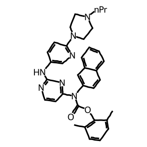 CCCN1CCN(c2ccc(Nc3nccc(N(C(=O)Oc4c(C)cccc4C)c4ccc5ccccc5c4)n3)cn2)CC1